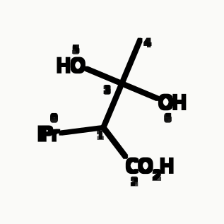 CC(C)C(C(=O)O)C(C)(O)O